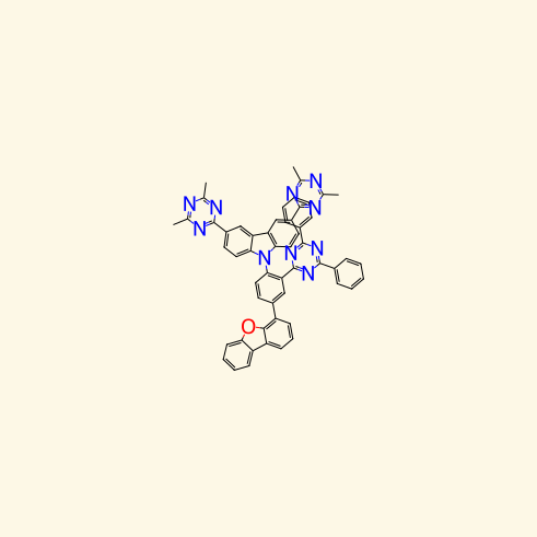 Cc1nc(C)nc(-c2ccc3c(c2)c2cc(-c4nc(C)nc(C)n4)ccc2n3-c2ccc(-c3cccc4c3oc3ccccc34)cc2-c2nc(-c3ccccc3)nc(-c3ccccc3)n2)n1